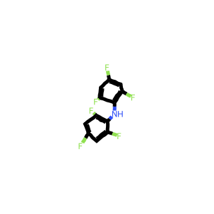 Fc1cc(F)c(Nc2c(F)cc(F)cc2F)c(F)c1